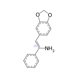 N/C(=C\c1ccc2c(c1)OCO2)c1ccccc1